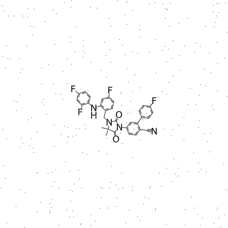 CC1(C)C(=O)N(c2ccc(C#N)c(-c3ccc(F)cc3)c2)C(=O)N1Cc1ccc(F)cc1Nc1ccc(F)cc1F